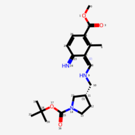 COC(=O)C1=C(C)/C(=C/NC[C@@H]2CCN(C(=O)OC(C)(C)C)C2)C(=N)C=C1